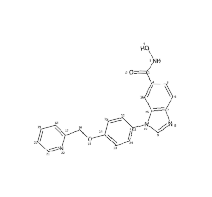 O=C(NO)c1ccc2ncn(-c3ccc(OCc4ccccn4)cc3)c2c1